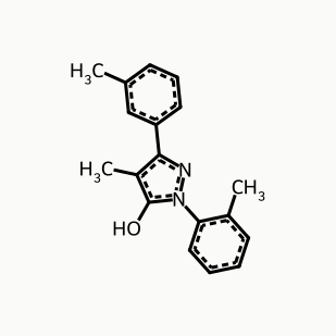 Cc1cccc(-c2nn(-c3ccccc3C)c(O)c2C)c1